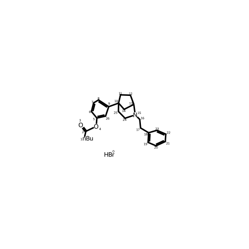 Br.CCCCC(=O)Oc1cccc(C23CCC(C2)N(CCc2ccccc2)CC3)c1